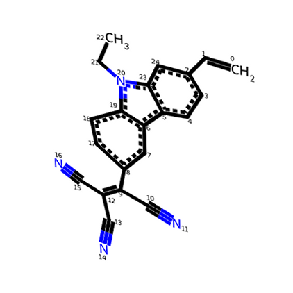 C=Cc1ccc2c3cc(C(C#N)=C(C#N)C#N)ccc3n(CC)c2c1